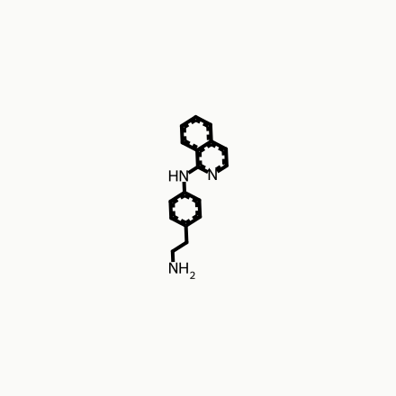 NCCc1ccc(Nc2nccc3ccccc23)cc1